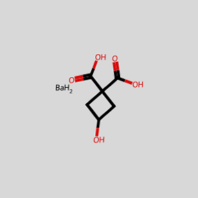 O=C(O)C1(C(=O)O)CC(O)C1.[BaH2]